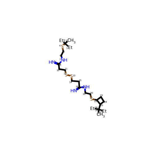 CCC(C)(CC)SCCNC(=N)CCSSCCC(=N)NCCSC1CCC1C(C)(CC)CC